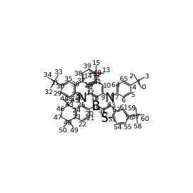 CC(C)(C)c1ccc(N2c3cc(C(C)(C)C)cc4c3B(c3ccc5c(c3N4c3ccc(C(C)(C)C)cc3-c3ccccc3)C(C)(C)CCC5(C)C)c3sc4ccc(C(C)(C)C)cc4c32)cc1